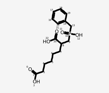 O=C(O)CCCCCC(CP(=O)(O)Cc1ccccc1)C(=O)O